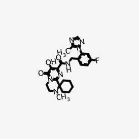 Cc1ncnn1-c1cc(F)ccc1CNC(=O)c1nc2n(c(=O)c1O)CCN(C)C21CCCCC1